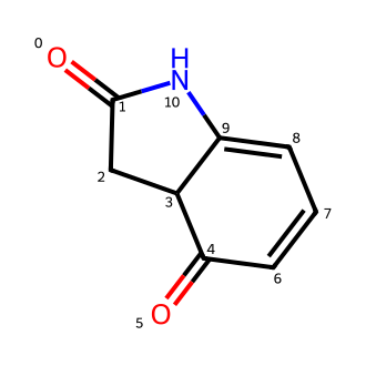 O=C1CC2C(=O)C=CC=C2N1